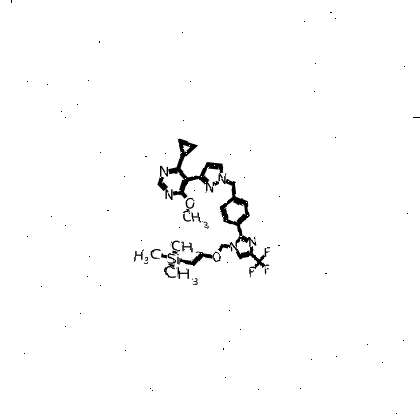 COc1ncnc(C2CC2)c1-c1ccn(Cc2ccc(-c3nc(C(F)(F)F)cn3COCC[Si](C)(C)C)cc2)n1